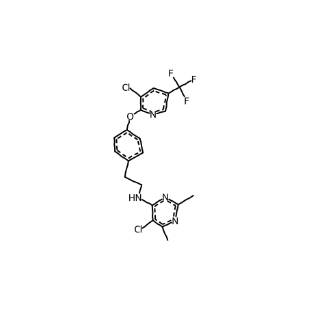 Cc1nc(C)c(Cl)c(NCCc2ccc(Oc3ncc(C(F)(F)F)cc3Cl)cc2)n1